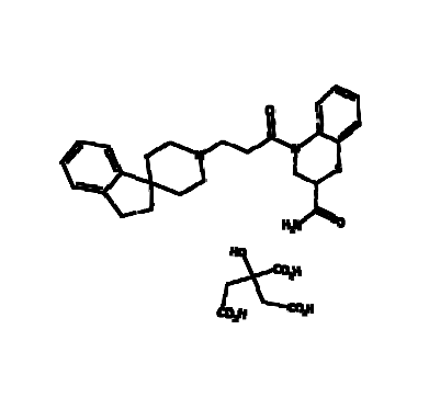 NC(=O)C1CN(C(=O)CCN2CCC3(CCc4ccccc43)CC2)c2ccccc2S1.O=C(O)CC(O)(CC(=O)O)C(=O)O